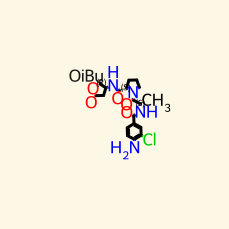 CC(C)CO[C@@H]1OC(=O)CC1NC(=O)[C@@H]1CCCN1C(=O)[C@H](C)NC(=O)c1ccc(N)c(Cl)c1